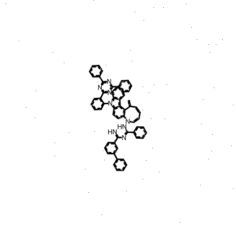 C=C1/C=C\C=C/N(N/C(=N\C(=N)c2cccc(-c3ccccc3)c2)c2ccccc2)c2ccc3c(c21)c1ccccc1n3-c1ccccc1-c1nc(-c2ccccc2)nc(-c2ccccc2)n1